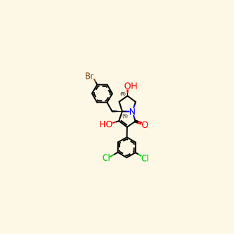 O=C1C(c2cc(Cl)cc(Cl)c2)=C(O)[C@]2(Cc3ccc(Br)cc3)C[C@@H](O)CN12